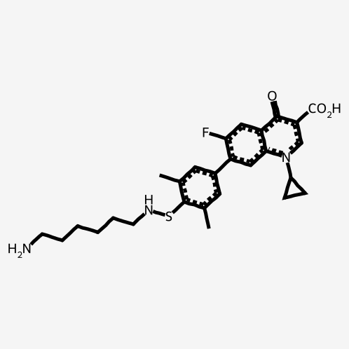 Cc1cc(-c2cc3c(cc2F)c(=O)c(C(=O)O)cn3C2CC2)cc(C)c1SNCCCCCCN